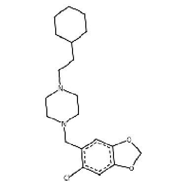 Clc1cc2c(cc1CN1CCN(CCC3CCCCC3)CC1)OCO2